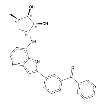 [CH2][C@@H]1C[C@@H](Nc2ccnc3cc(-c4cccc(C(=O)c5ccccc5)c4)nn23)[C@H](O)[C@@H]1O